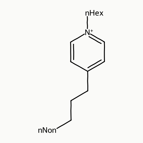 CCCCCCCCCCCCc1cc[n+](CCCCCC)cc1